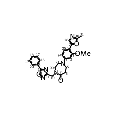 COc1cc(N2CCC(=O)N(Cc3noc(-c4ccccc4)n3)CC2)ccc1-c1cnc(C)o1